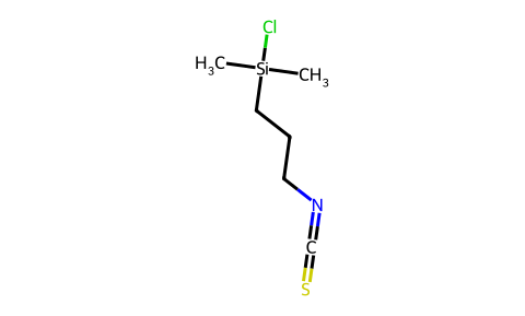 C[Si](C)(Cl)CCCN=C=S